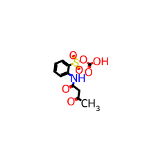 CC(=O)CC(=O)Nc1ccccc1S(=O)(=O)OC(=O)O